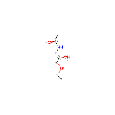 CCOC[C@H](O)CNC(C)=O